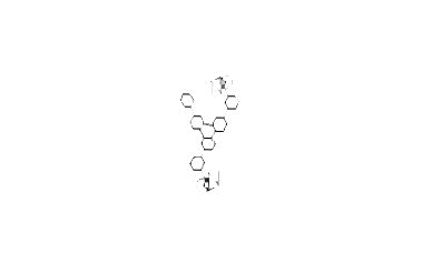 c1ccc(-c2ccc3c4cc(-c5cccc(-c6ncco6)c5)ccc4c4ccc(-c5cccc(-c6ncco6)c5)cc4c3c2)cc1